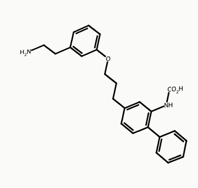 NCCc1cccc(OCCCc2ccc(-c3ccccc3)c(NC(=O)O)c2)c1